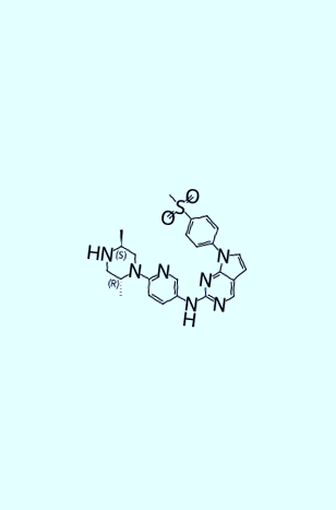 C[C@@H]1CN[C@@H](C)CN1c1ccc(Nc2ncc3ccn(-c4ccc(S(C)(=O)=O)cc4)c3n2)cn1